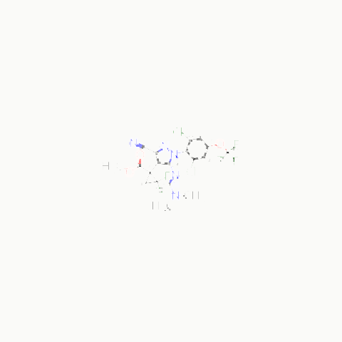 COC(=O)C1(c2c(C#N)nn(-c3c(Cl)cc(OC(F)(F)F)cc3Cl)c2/N=C/N(C)C)CC1(F)F